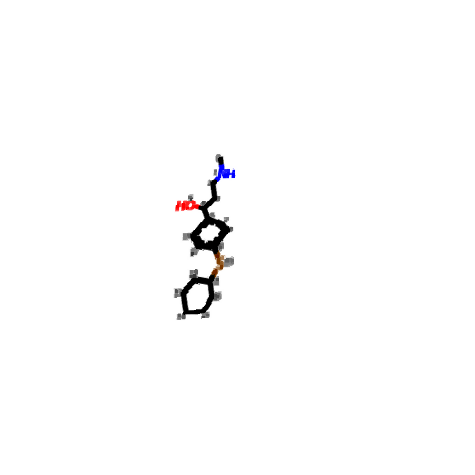 CNCCC(O)c1ccc(SC2CCCCC2)cc1